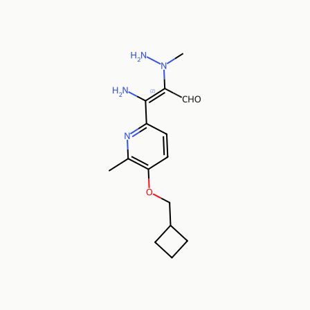 Cc1nc(/C(N)=C(\C=O)N(C)N)ccc1OCC1CCC1